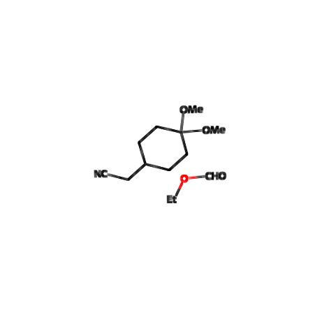 CCOC=O.COC1(OC)CCC(CC#N)CC1